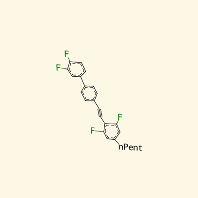 CCCCCc1cc(F)c(C#Cc2ccc(-c3ccc(F)c(F)c3)cc2)c(F)c1